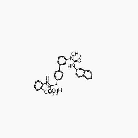 CN(C(=O)Nc1ccc2ccccc2c1)c1cccc(-c2ccc(C[C@H](Nc3ccccc3C(=O)O)C(=O)O)cc2)c1